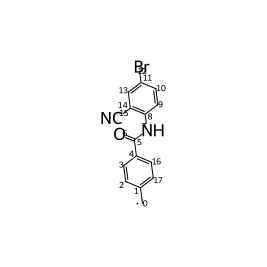 [CH2]c1ccc(C(=O)Nc2ccc(Br)cc2C#N)cc1